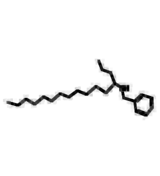 CCCCCCCCCCCCC(CCC)NCc1ccccc1